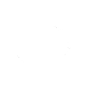 CCN(Cc1ccc(C=Cc2ccccc2C(=O)NC(Cc2ccccc2)C(=O)C(N)=O)cc1)C(C)C